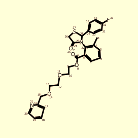 Cc1cccc(C(=O)OCCOCCOCc2ccccn2)c1N1C(=O)CSC1c1ccc(F)cc1